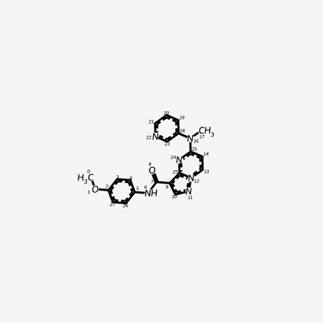 COc1ccc(NC(=O)c2cnn3ccc(N(C)c4cccnc4)nc23)cc1